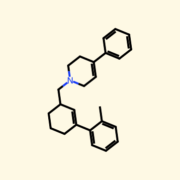 Cc1ccccc1C1=CC(CN2CC=C(c3ccccc3)CC2)CCC1